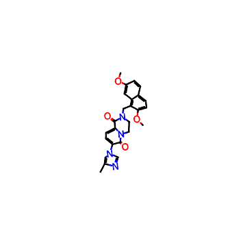 COc1ccc2ccc(OC)c(CN3CCn4c(ccc(-n5cnc(C)c5)c4=O)C3=O)c2c1